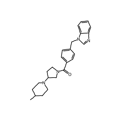 CC1CCN(C2CCN(C(=O)c3ccc(Cn4cnc5ccccc54)cc3)C2)CC1